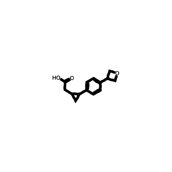 O=C(O)CC1CC1c1ccc(C2COC2)cc1